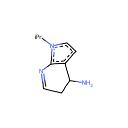 CC(C)n1ccc2c1N=CCC2N